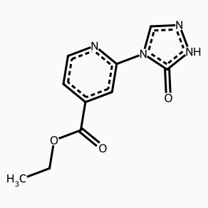 CCOC(=O)c1ccnc(-n2cn[nH]c2=O)c1